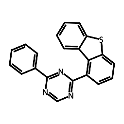 c1ccc(-c2ncnc(-c3cccc4sc5ccccc5c34)n2)cc1